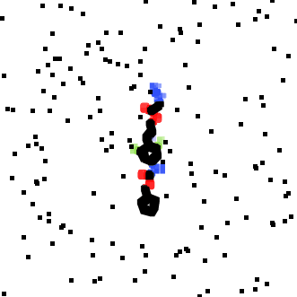 [N-]=[N+]=CC(=O)OC/C=C/c1c(F)cc(NC(=O)OCc2ccccc2)cc1F